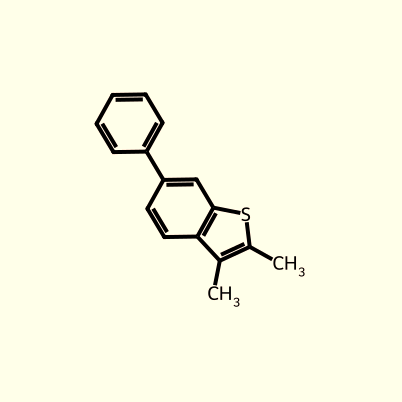 Cc1sc2cc(-c3ccccc3)ccc2c1C